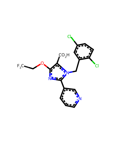 O=C(O)c1c(OCC(F)(F)F)nc(-c2cccnc2)n1Cc1cc(Cl)ccc1Cl